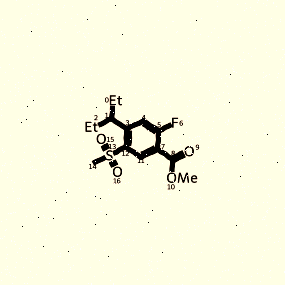 CCC(CC)c1cc(F)c(C(=O)OC)cc1S(C)(=O)=O